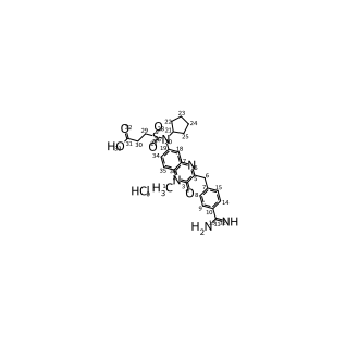 Cl.Cn1c(=O)c(Cc2ccc(C(=N)N)cc2)nc2cc(N(C3CCCC3)S(=O)(=O)CCC(=O)O)ccc21